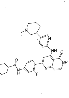 CN1CCCC(c2ccc(Nc3cc(-c4ccc(NC(=O)C5CCCCC5)cc4F)nc4cc[nH]c(=O)c34)nc2)C1